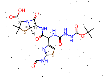 CC(C)(C)OC(=O)NNC(=O)NC(C(=O)N[C@@H]1C(=O)N2[C@@H]1SC(C)(C)[C@@H]2C(=O)O)c1csc(NC=O)n1